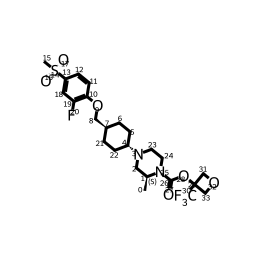 C[C@H]1CN([C@H]2CC[C@H](COc3ccc(S(C)(=O)=O)cc3F)CC2)CCN1C(=O)OC1(C(F)(F)F)COC1